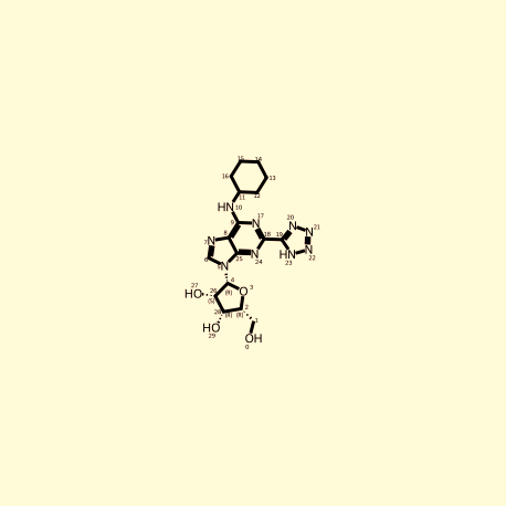 OC[C@H]1O[C@@H](n2cnc3c(NC4CCCCC4)nc(-c4nnn[nH]4)nc32)[C@@H](O)[C@H]1O